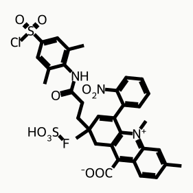 Cc1ccc2c(C(=O)[O-])c3c([n+](C)c2c1)C(c1ccccc1[N+](=O)[O-])=CC(C)(CCC(=O)Nc1c(C)cc(S(=O)(=O)Cl)cc1C)C3.O=S(=O)(O)F